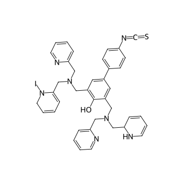 Oc1c(CN(CC2=CC=CCN2I)Cc2ccccn2)cc(-c2ccc(N=C=S)cc2)cc1CN(Cc1ccccn1)CC1C=CC=CN1